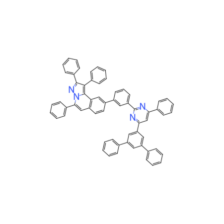 c1ccc(-c2cc(-c3ccccc3)cc(-c3cc(-c4ccccc4)nc(-c4cccc(-c5ccc6cc(-c7ccccc7)n7nc(-c8ccccc8)c(-c8ccccc8)c7c6c5)c4)n3)c2)cc1